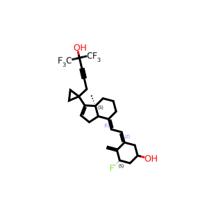 C=C1/C(=C\C=C2/CCC[C@]3(C)C(C4(CC#CC(O)(C(F)(F)F)C(F)(F)F)CC4)=CCC23)CC(O)C[C@@H]1F